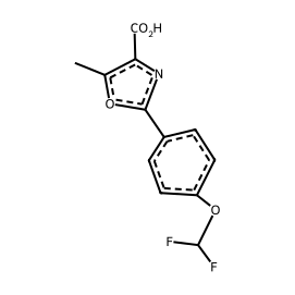 Cc1oc(-c2ccc(OC(F)F)cc2)nc1C(=O)O